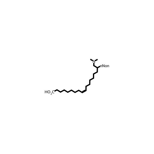 CCCCCCCCCC(CCCCCC/C=C\CCCCCCCC(=O)O)CN(C)C